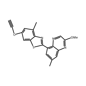 C#COc1cc(C)c2nc(-c3cc(C)cc4nc(OC)cnc34)sc2c1